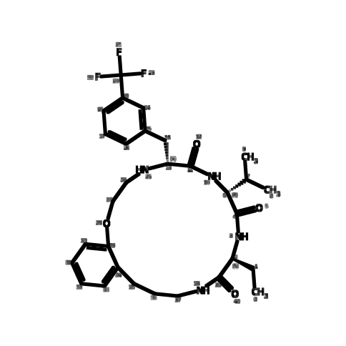 CC[C@@H]1NC(=O)[C@@H](C(C)C)NC(=O)[C@@H](Cc2cccc(C(F)(F)F)c2)NCCOc2ccccc2CCCNC1=O